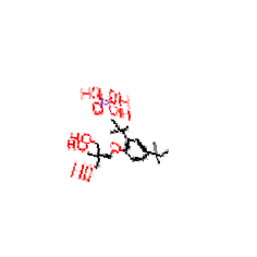 CC(C)(C)c1ccc(OCC(CO)(CO)CO)c(C(C)(C)C)c1.O=P(O)(O)O